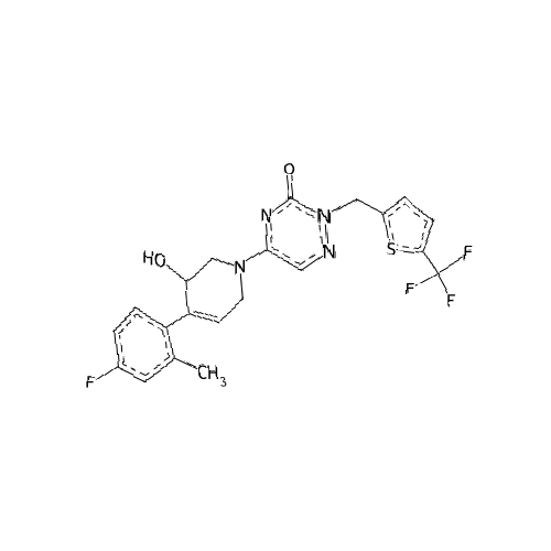 Cc1cc(F)ccc1C1=CCN(c2cnn(Cc3ccc(C(F)(F)F)s3)c(=O)n2)CC1O